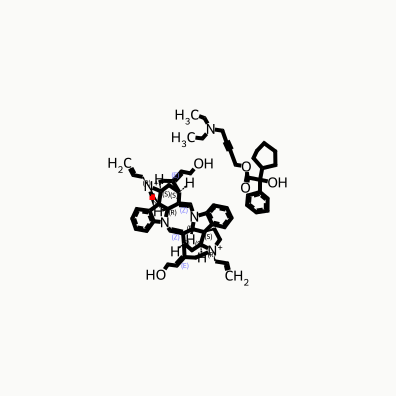 C=CC[N@@+]12CC[C@@]34c5ccccc5N5/C=C6/[C@H]7C[C@H]8[C@@]9(CC[N@@+]8(CC=C)C/C7=C/CO)c7ccccc7N(/C=C(/[C@@H](C[C@@H]31)/C(=C\CO)C2)[C@H]54)[C@@H]69.CCN(CC)CC#CCOC(=O)C(O)(c1ccccc1)C1CCCCC1